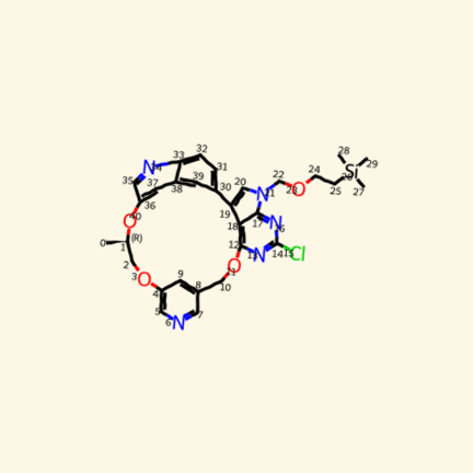 C[C@@H]1COc2cncc(c2)COc2nc(Cl)nc3c2c(cn3COCC[Si](C)(C)C)-c2ccc3ncc(cc3c2)O1